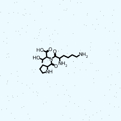 CC(O)C(C(=O)O)N(C(=O)C(N)CCCCN)C(=O)C1CCCN1